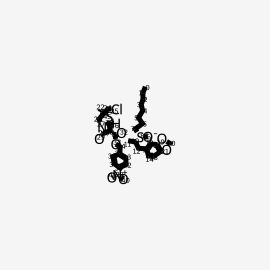 CCCCCCCC[S+]([O-])C(C)Cc1ccc2c(c1)OCO2.C[C@]1(CCl)CN2C(=O)[C@H](C(=O)OCc3ccc([N+](=O)[O-])cc3)[C@H]2S1